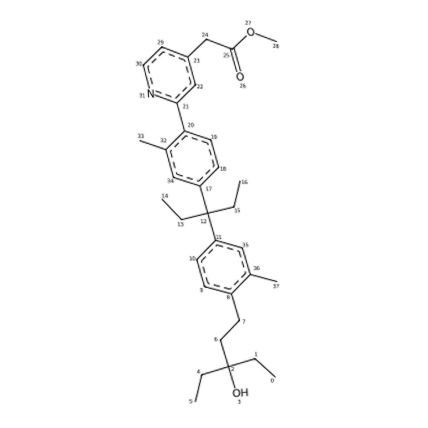 CCC(O)(CC)CCc1ccc(C(CC)(CC)c2ccc(-c3cc(CC(=O)OC)ccn3)c(C)c2)cc1C